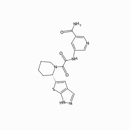 NC(=O)c1cncc(NC(=O)C(=O)N2CCCC[C@H]2c2cc3cn[nH]c3s2)c1